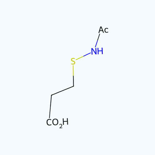 CC(=O)NSCCC(=O)O